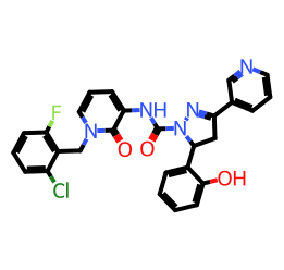 O=C(Nc1cccn(Cc2c(F)cccc2Cl)c1=O)N1N=C(c2cccnc2)CC1c1ccccc1O